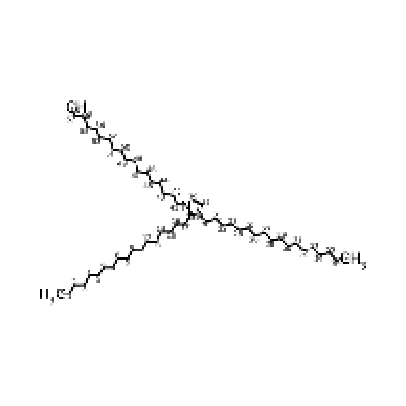 CCCCCCCCCCCCCCCCCCc1n(CCCCCCCCCCCCCCCCCC)cc[n+]1CCCCCCCCCCCCCCCCCC